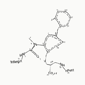 CCCCCCCNC(=O)N(C)c1cc(-c2ccccc2)ccc1C[C@H](NCCCCC)C(=O)O